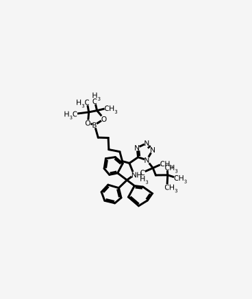 CC(C)(C)CC(C)(C)n1nnnc1C(CCCCCB1OC(C)(C)C(C)(C)O1)NC(c1ccccc1)(c1ccccc1)c1ccccc1